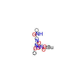 CC(CC(=O)N(COCc1ccccc1)CC(=O)N1CCC(C(=O)NC2CCCCC2)CC1)NC(=O)OC(C)(C)C